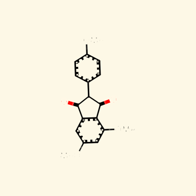 COc1ccc(C2C(=O)c3cc(OC)cc(OC)c3C2=O)cc1